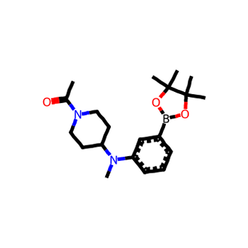 CC(=O)N1CCC(N(C)c2cccc(B3OC(C)(C)C(C)(C)O3)c2)CC1